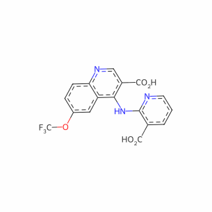 O=C(O)c1cccnc1Nc1c(C(=O)O)cnc2ccc(OC(F)(F)F)cc12